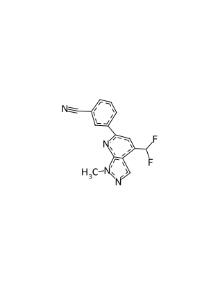 Cn1ncc2c(C(F)F)cc(-c3cccc(C#N)c3)nc21